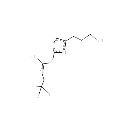 NCCCc1csc(N/C(N)=N\CC(F)(F)F)n1